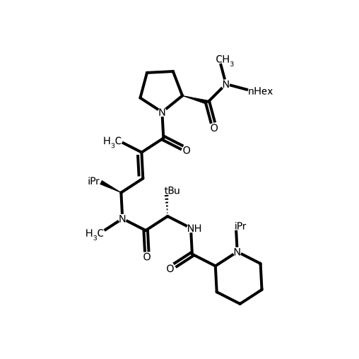 CCCCCCN(C)C(=O)[C@@H]1CCCN1C(=O)/C(C)=C/[C@H](C(C)C)N(C)C(=O)[C@@H](NC(=O)C1CCCCN1C(C)C)C(C)(C)C